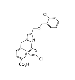 O=C(O)c1ccc(Cn2cc(COCc3ccccc3Cl)nc2-c2ccc(Cl)s2)cc1